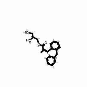 CC(=Cc1ccccc1Cc1ccccc1)C(=O)OCC(O)CO